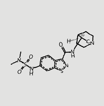 CN(C)S(=O)(=O)Nc1ccc2c(C(=O)N[C@@H]3CN4CCC3CC4)nsc2c1